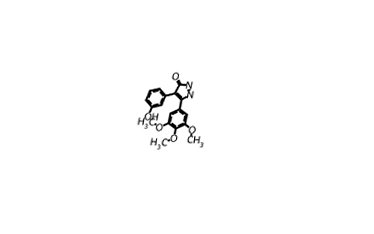 COc1cc(C2=C(c3cccc(O)c3)C(=O)N=N2)cc(OC)c1OC